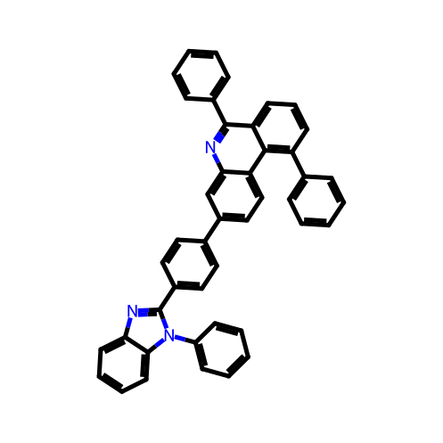 c1ccc(-c2nc3cc(-c4ccc(-c5nc6ccccc6n5-c5ccccc5)cc4)ccc3c3c(-c4ccccc4)cccc23)cc1